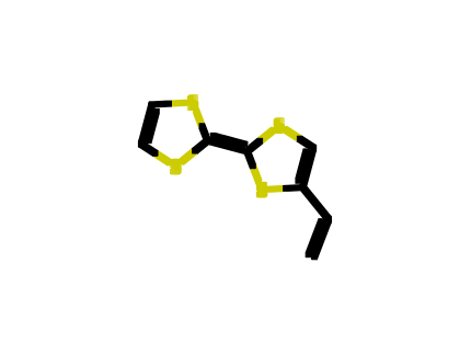 C=CC1=CSC(=C2SC=CS2)S1